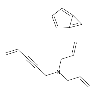 C=CC#CCN(CC=C)CC=C.c1cc2cc-2c1